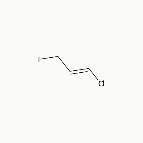 ClC=CCI